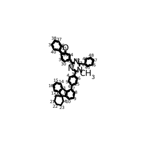 CN1C(c2ccc(-c3cccc4c3-c3ccccc3C43CCCCC3)cc2)=NC(c2ccc3c(c2)oc2ccccc23)=NC1c1ccccc1